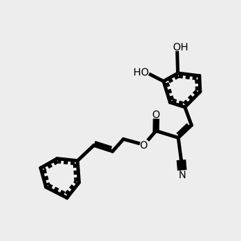 N#CC(=Cc1ccc(O)c(O)c1)C(=O)OCC=Cc1ccccc1